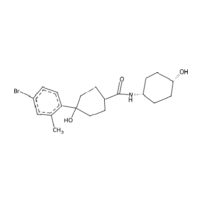 Cc1cc(Br)ccc1C1(O)CCC(C(=O)N[C@H]2CC[C@@H](O)CC2)CC1